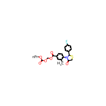 CCCOC(=O)OCOC(=O)c1ccc(N2C(=O)CSC2c2ccc(F)cc2)c(C)c1